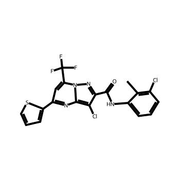 Cc1c(Cl)cccc1NC(=O)c1nn2c(C(F)(F)F)cc(-c3cccs3)nc2c1Cl